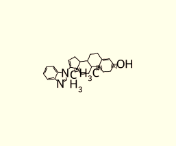 C[C@]12CC[C@@H](O)C=C1CCC1C2CC[C@]2(C)C(n3cnc4ccccc43)=CCC12